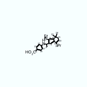 CCOc1cc2c(cc1C(C)Nc1ccc(C(=O)O)cc1)C(C(C)C)=CCC2(C)C